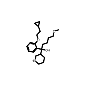 COCCCCC(O)(c1ccccc1OCCC1CC1)C1CCCNC1